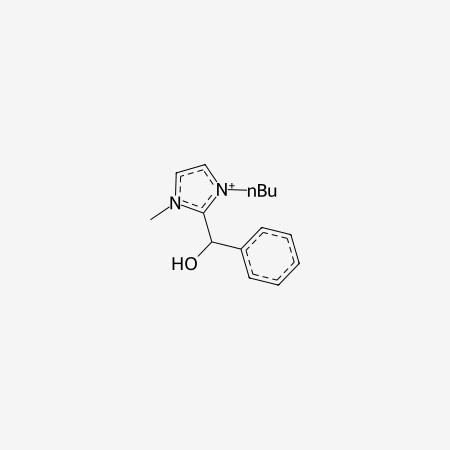 CCCC[n+]1ccn(C)c1C(O)c1ccccc1